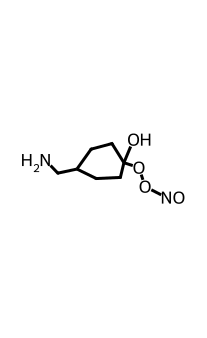 NCC1CCC(O)(OON=O)CC1